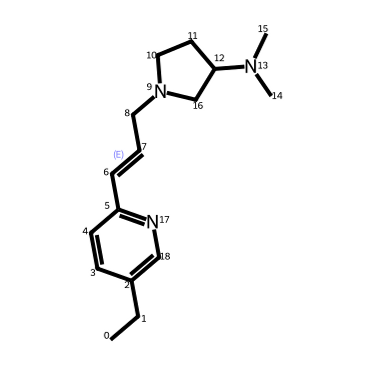 CCc1ccc(/C=C/CN2CCC(N(C)C)C2)nc1